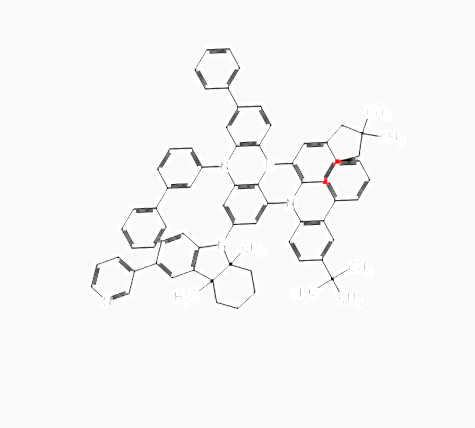 CC1(C)Cc2cc3c(cc2C1)N(c1ccc(C(C)(C)C)cc1-c1ccccc1)c1cc(N2c4ccc(-c5cccnc5)cc4C4(C)CCCCC24C)cc2c1B3c1ccc(-c3ccccc3)cc1N2c1cccc(-c2ccccc2)c1